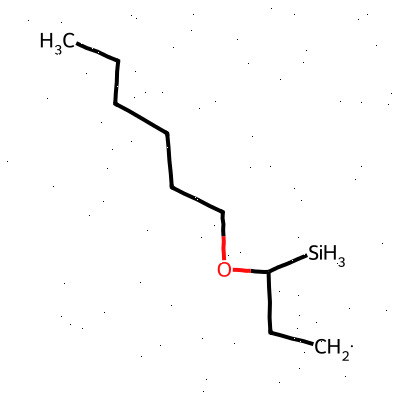 [CH2]CC([SiH3])OCCCCCC